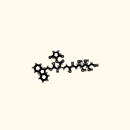 O=C(CC[C@H](NC(=O)OCC1c2ccccc2-c2ccccc21)C(=O)ON1C(=O)CCC1=O)NC[C@H](O)[C@@H](O)[C@H](O)[C@H](O)CO